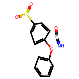 N=C=O.O=[SH](=O)c1ccc(Oc2ccccc2)cc1